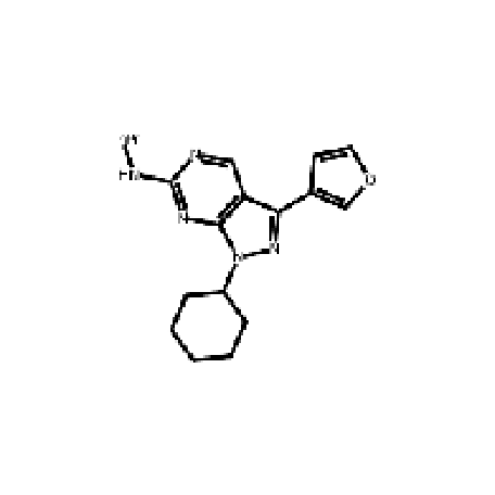 CCCNc1ncc2c(-c3ccoc3)nn(C3CCCCC3)c2n1